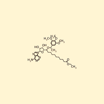 CCOC(=O)CCCCCCCCCC(OC(C)c1cc(OC)c(OC)c(OC)c1)[C@H]1O[C@@H](n2cnc3c(N)ncnc32)[C@H](O)[C@@H]1O